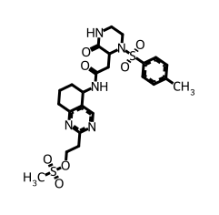 Cc1ccc(S(=O)(=O)N2CCNC(=O)C2CC(=O)NC2CCCc3nc(CCOS(C)(=O)=O)ncc32)cc1